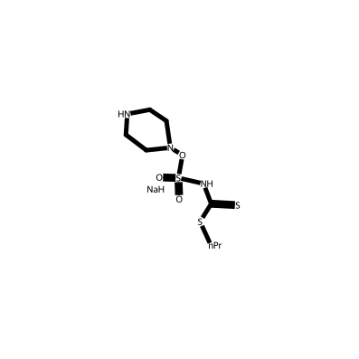 CCCSC(=S)NS(=O)(=O)ON1CCNCC1.[NaH]